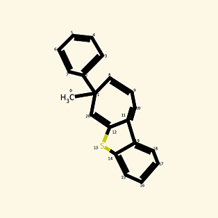 CC1(c2ccccc2)C=CC=c2c(sc3ccccc23)=C1